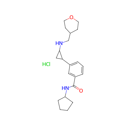 Cl.O=C(NC1CCCC1)c1cccc(C2CC2NCC2CCOCC2)c1